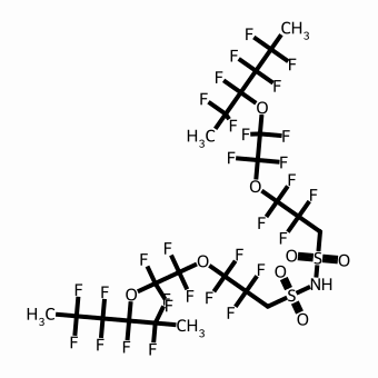 CC(F)(F)C(F)(F)C(F)(OC(F)(F)C(F)(F)OC(F)(F)C(F)(F)CS(=O)(=O)NS(=O)(=O)CC(F)(F)C(F)(F)OC(F)(F)C(F)(F)OC(F)(C(C)(F)F)C(F)(F)C(C)(F)F)C(C)(F)F